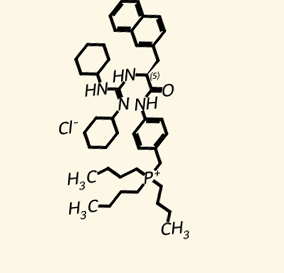 CCCC[P+](CCCC)(CCCC)Cc1ccc(NC(=O)[C@H](Cc2ccc3ccccc3c2)NC(=NC2CCCCC2)NC2CCCCC2)cc1.[Cl-]